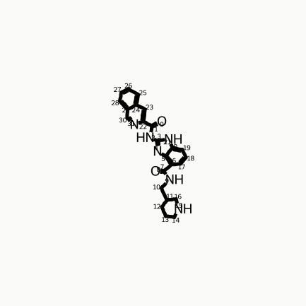 O=C(Nc1nc2c(C(=O)NCC3CCCNC3)cccc2[nH]1)c1cc2ccccc2cn1